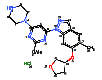 COc1nc(N2CCNCC2)cc(-n2ncc3cc(C)c(O[C@H]4CCOC4)cc32)n1.Cl